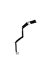 C=C=CC[CH]CC